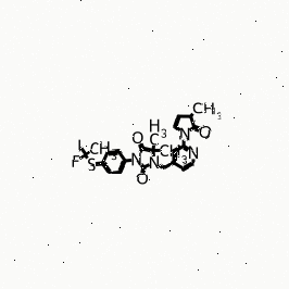 CC1CCN(c2cc(CN3C(=O)N(c4ccc(SC(C)(F)I)cc4)C(=O)C3(C)C)ccn2)C1=O